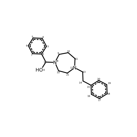 OC(c1ccccc1)N1CCCN(CCc2ccccc2)CC1